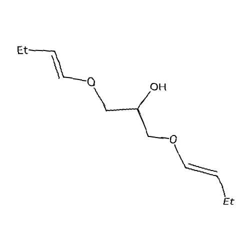 CCC=COCC(O)COC=CCC